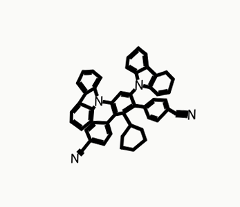 N#Cc1ccc(-c2c(-n3c4c(c5ccccc53)CCC=C4)cc(-n3c4ccccc4c4ccccc43)c(-c3ccc(C#N)cc3)c2C2CCCCC2)cc1